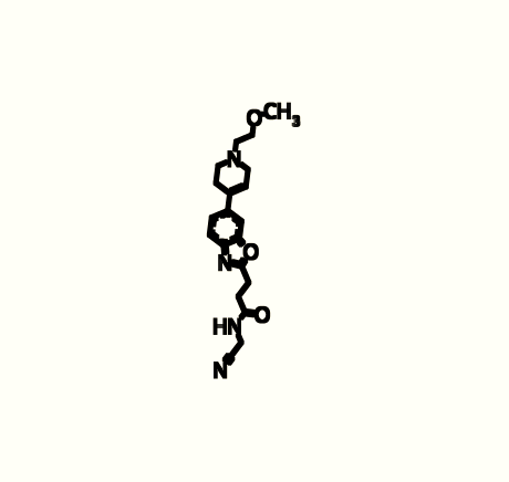 COCCN1CC=C(c2ccc3nc(CCC(=O)NCC#N)oc3c2)CC1